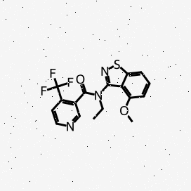 CCN(C(=O)c1cnccc1C(F)(F)F)c1nsc2cccc(OC)c12